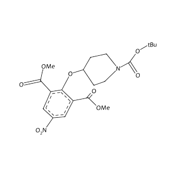 COC(=O)c1cc([N+](=O)[O-])cc(C(=O)OC)c1OC1CCN(C(=O)OC(C)(C)C)CC1